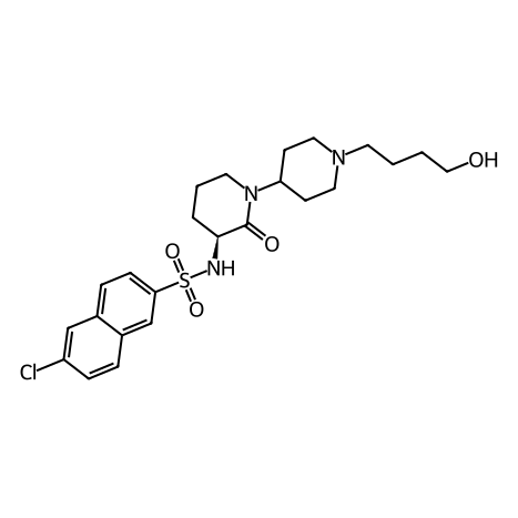 O=C1[C@@H](NS(=O)(=O)c2ccc3cc(Cl)ccc3c2)CCCN1C1CCN(CCCCO)CC1